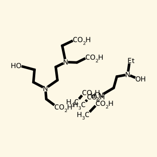 CC(=O)O.CC(=O)O.CC(=O)O.CCN(O)CCN.O=C(O)CN(CCO)CCN(CC(=O)O)CC(=O)O